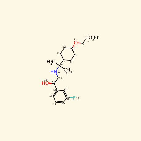 CCOC(=O)COC1CCC(C(C)(C)NC[C@H](O)c2cccc(F)c2)CC1